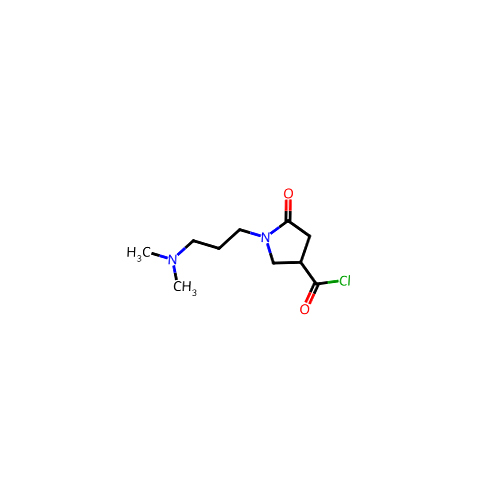 CN(C)CCCN1CC(C(=O)Cl)CC1=O